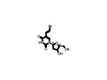 N#CC[C@@H]1O[C@H](n2cc(C=CBr)c(=O)[nH]c2=O)CC1O